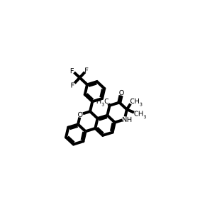 CC1C(=O)C(C)(C)Nc2ccc3c(c21)C(c1cccc(C(F)(F)F)c1)Oc1ccccc1-3